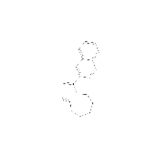 C=C(c1ccc2ccccc2c1)N1CCCCCC1=O